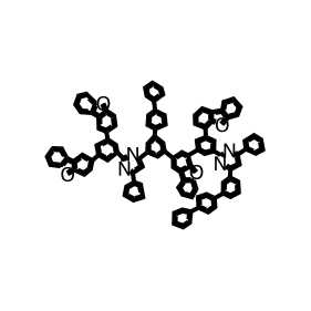 c1ccc(-c2ccc(-c3cccc(-c4cc(-c5ccccc5)nc(-c5cc(-c6cccc7c6oc6ccccc67)cc(-c6cc(-c7cc(-c8ccc(-c9ccccc9)cc8)cc(-c8cc(-c9ccccc9)nc(-c9cc(-c%10ccc%11oc%12ccccc%12c%11c%10)cc(-c%10ccc%11oc%12ccccc%12c%11c%10)c9)n8)c7)cc7c6oc6ccccc67)c5)n4)c3)cc2)cc1